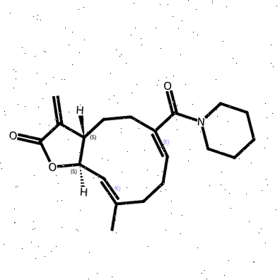 C=C1C(=O)O[C@@H]2/C=C(\C)CC/C=C(/C(=O)N3CCCCC3)CC[C@@H]12